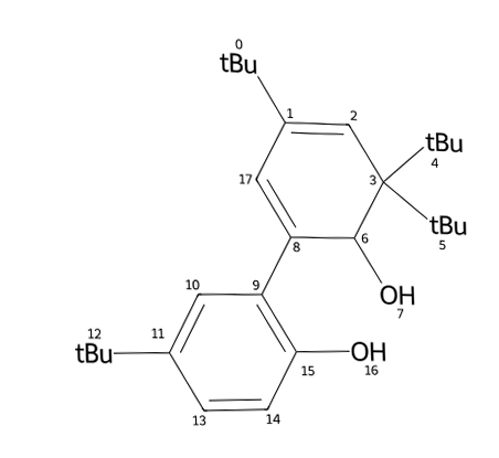 CC(C)(C)C1=CC(C(C)(C)C)(C(C)(C)C)C(O)C(c2cc(C(C)(C)C)ccc2O)=C1